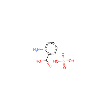 Nc1ccccc1C(=O)O.O=S(=O)(O)O